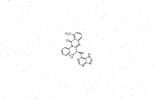 Cc1cccc2nc([C@@H](Nc3ncnc4nc[nH]c34)C3CC3)n(-c3ccccc3)c(=O)c12